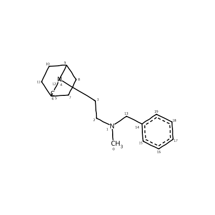 CN(CCN1CC2CCC(CC2)C1)Cc1ccccc1